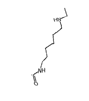 CCNCCCCCCN[C]=O